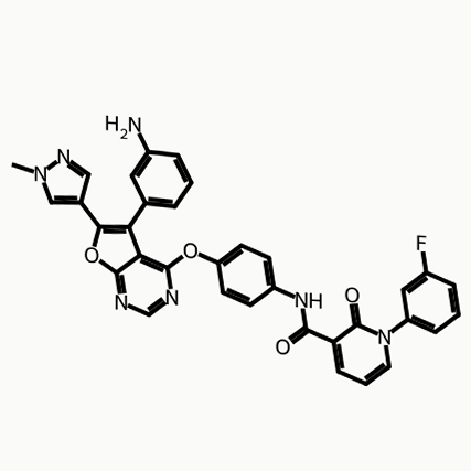 Cn1cc(-c2oc3ncnc(Oc4ccc(NC(=O)c5cccn(-c6cccc(F)c6)c5=O)cc4)c3c2-c2cccc(N)c2)cn1